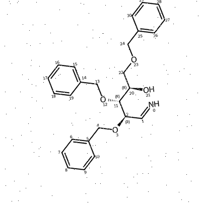 N=C[C@@H](OCc1ccccc1)[C@H](OCc1ccccc1)[C@H](O)COCc1ccccc1